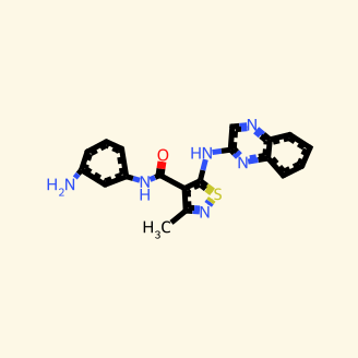 Cc1nsc(Nc2cnc3ccccc3n2)c1C(=O)Nc1cccc(N)c1